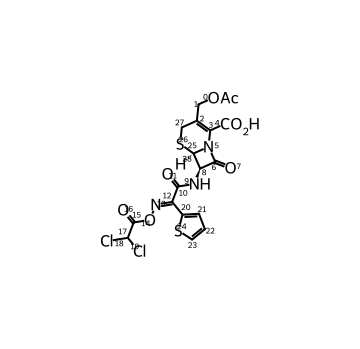 CC(=O)OCC1=C(C(=O)O)N2C(=O)[C@@H](NC(=O)/C(=N/OC(=O)C(Cl)Cl)c3cccs3)[C@H]2SC1